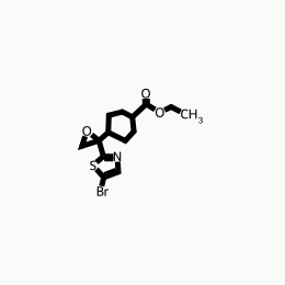 CCOC(=O)C1CCC(C2(c3ncc(Br)s3)CO2)CC1